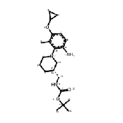 Cc1c(OC2CC2)ccc(N)c1N1CCC[C@@H](CNC(=O)OC(C)(C)C)C1